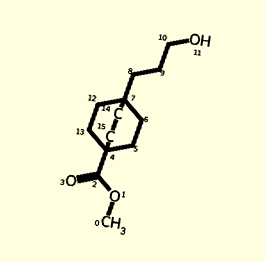 COC(=O)C12CCC(CCCO)(CC1)CC2